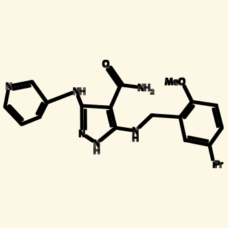 COc1ccc(C(C)C)cc1CNc1[nH]nc(Nc2cccnc2)c1C(N)=O